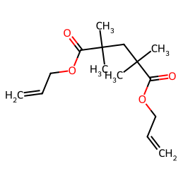 C=CCOC(=O)C(C)(C)CC(C)(C)C(=O)OCC=C